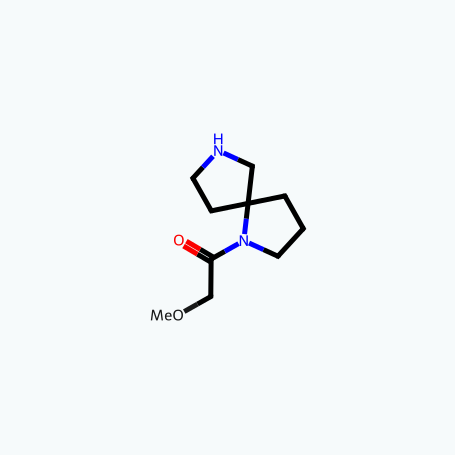 COCC(=O)N1CCCC12CCNC2